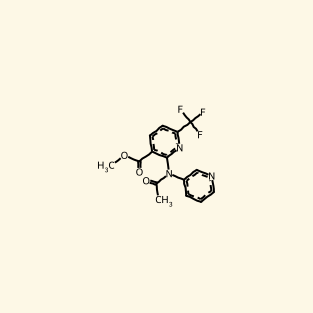 COC(=O)c1ccc(C(F)(F)F)nc1N(C(C)=O)c1cccnc1